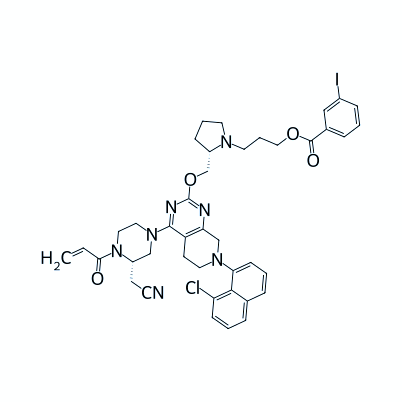 C=CC(=O)N1CCN(c2nc(OC[C@@H]3CCCN3CCCOC(=O)c3cccc(I)c3)nc3c2CCN(c2cccc4cccc(Cl)c24)C3)C[C@@H]1CC#N